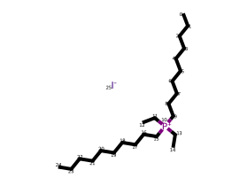 CCCCCCCCCC[P+](CC)(CC)CCCCCCCCCC.[I-]